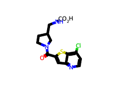 O=C(O)NCC1CCN(C(=O)c2cc3nccc(Cl)c3s2)C1